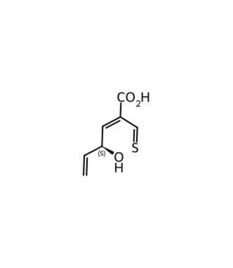 C=C[C@H](O)C=C(C=S)C(=O)O